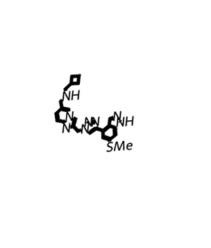 CSc1cc(-c2cn(Cc3cn4cc(CNCC5CCC5)ccc4n3)nn2)c2cn[nH]c2c1